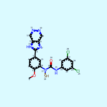 COc1ccc(-c2nc3cnncc3[nH]2)cc1N(S)C(=O)Nc1cc(Cl)cc(Cl)c1